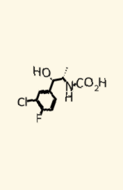 C[C@H](NC(=O)O)[C@@H](O)c1ccc(F)c(Cl)c1